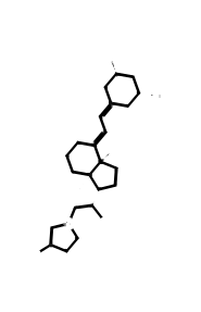 CC(CN1CCC(F)C1)[C@H]1CC[C@H]2C(=CC=C3C[C@@H](O)C[C@H](O)C3)CCC[C@]12C